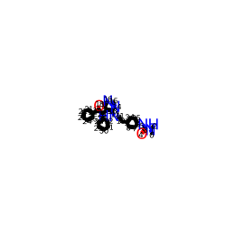 CN(C)C(=O)Nc1ccc(CCNc2ncnc3oc(-c4ccccc4)c(-c4ccccc4)c23)cc1